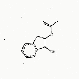 CC(=O)OC1Cc2ccccc2C1O